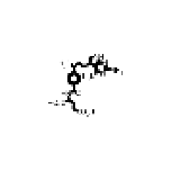 CC(CCC1CNc2nc(N)nc(N)c21)c1ccc(C(=O)N[C@@H](CCC(=O)O)C(=O)O)cc1